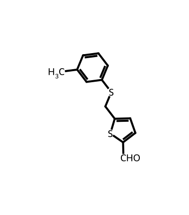 Cc1cccc(SCc2ccc(C=O)s2)c1